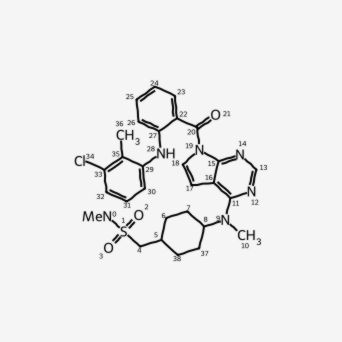 CNS(=O)(=O)CC1CCC(N(C)c2ncnc3c2ccn3C(=O)c2ccccc2Nc2cccc(Cl)c2C)CC1